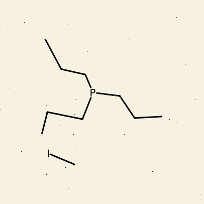 CCCP(CCC)CCC.CI